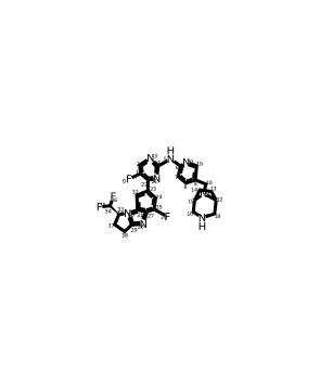 Fc1cnc(Nc2ccc(CN3C4CCC3CNC4)cn2)nc1-c1cc(F)c2nc3n(c2c1)[C@H](C(F)F)CC3